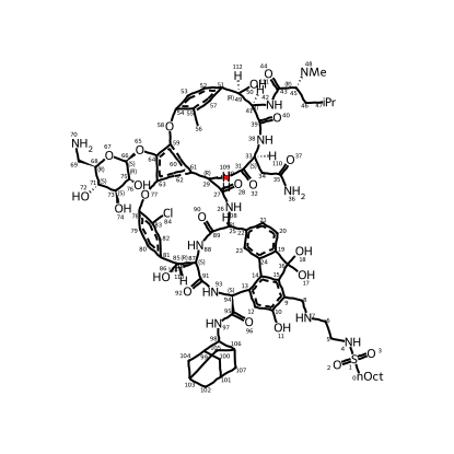 CCCCCCCCS(=O)(=O)NCCNCc1c(O)cc2c3c1C(O)(O)c1ccc(cc1-3)[C@H]1NC(=O)[C@@H]3NC(=O)[C@H](CC(N)=O)NC(=O)[C@H](NC(=O)[C@@H](CC(C)C)NC)[C@H](O)c4ccc(c(C)c4)Oc4cc3cc(c4O[C@@H]3O[C@H](CN)[C@@H](O)[C@H](O)[C@H]3O)Oc3ccc(cc3Cl)[C@@H](O)[C@H](NC1=O)C(=O)N[C@@H]2C(=O)NC1C2CC3CC(C2)CC1C3